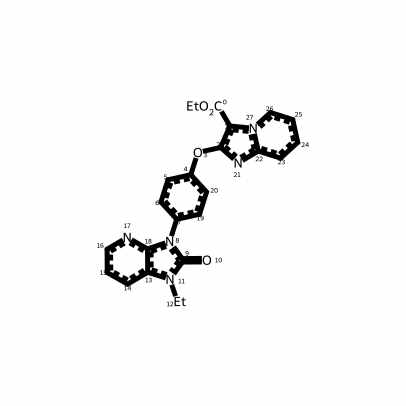 CCOC(=O)c1c(Oc2ccc(-n3c(=O)n(CC)c4cccnc43)cc2)nc2ccccn12